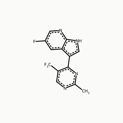 Cc1ncc(C(F)(F)F)c(-c2c[nH]c3ncc(F)cc23)n1